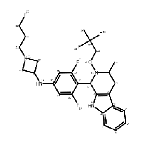 CC1Cc2c([nH]c3ccccc23)C(c2c(F)cc(NC3CN(CCCF)C3)cc2F)N1OCC(C)(F)F